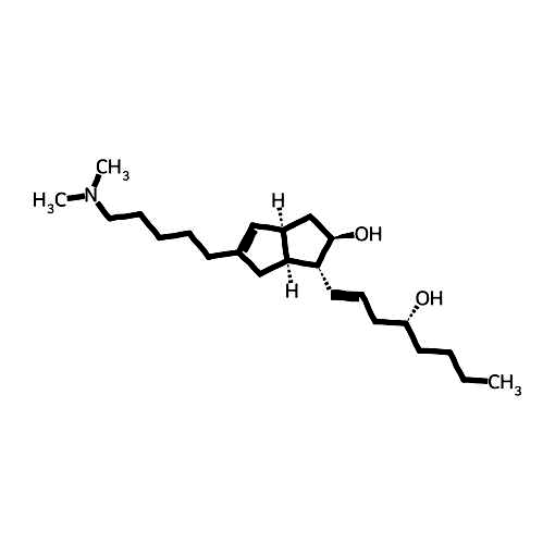 CCCC[C@@H](O)C/C=C/[C@@H]1[C@H]2CC(CCCCCN(C)C)=C[C@H]2C[C@H]1O